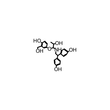 CC(O)C(NCC(c1ccc(O)cc1)c1ccc(O)cc1)Oc1ccc(O)c(CO)c1